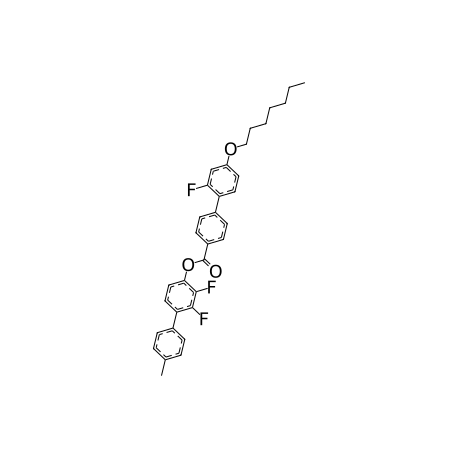 CCCCCCCOc1ccc(-c2ccc(C(=O)Oc3ccc(-c4ccc(C)cc4)c(F)c3F)cc2)c(F)c1